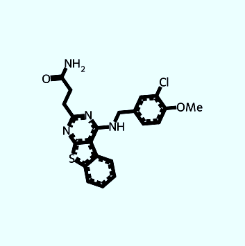 COc1ccc(CNc2nc(CCC(N)=O)nc3sc4ccccc4c23)cc1Cl